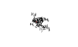 CCCCCCSc1nnc(N=Nc2cc(OC)c(N(Cc3ccc(C(C)(C)C)cc3)Cc3ccc(C(C)(C)C)cc3)cc2NC(C)=O)s1